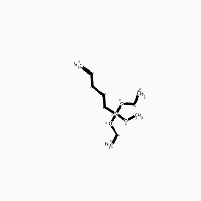 C=CCCC[Si](OC)(OCC)OCC